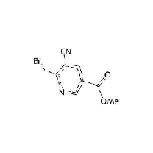 COC(=O)c1cnc(CBr)c(C#N)c1